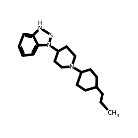 CCCC1CCC(N2CCC(N3SNc4ccccc43)CC2)CC1